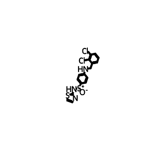 [O-][S+](Nc1nccs1)c1ccc(NCc2cccc(Cl)c2Cl)cc1